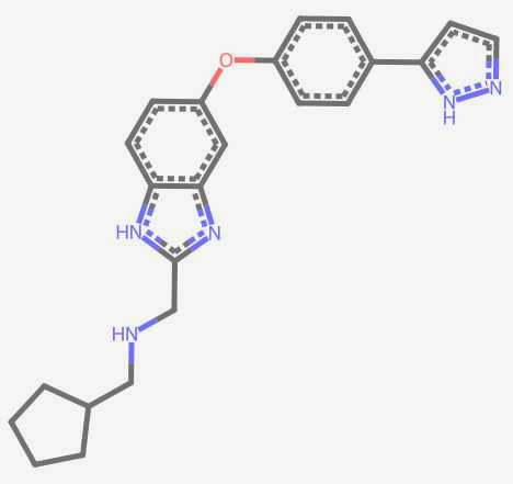 c1cc(-c2ccc(Oc3ccc4[nH]c(CNCC5CCCC5)nc4c3)cc2)[nH]n1